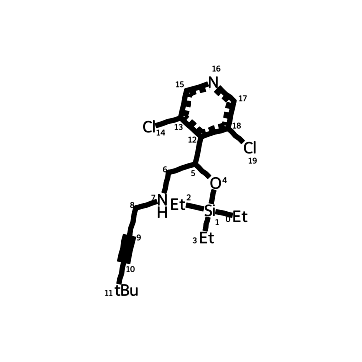 CC[Si](CC)(CC)OC(CNCC#CC(C)(C)C)c1c(Cl)cncc1Cl